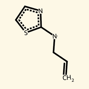 C=CC[N]c1nccs1